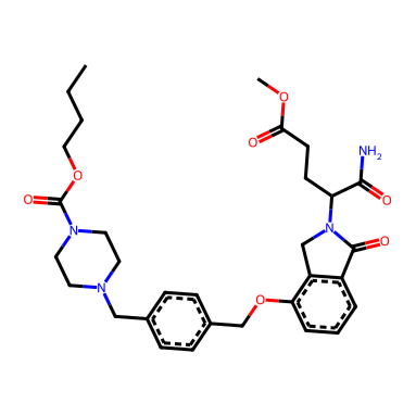 CCCCOC(=O)N1CCN(Cc2ccc(COc3cccc4c3CN(C(CCC(=O)OC)C(N)=O)C4=O)cc2)CC1